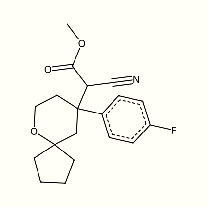 COC(=O)C(C#N)C1(c2ccc(F)cc2)CCOC2(CCCC2)C1